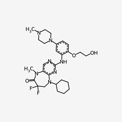 CN1CCN(c2ccc(OCCO)c(Nc3ncc4c(n3)N(C3CCCCC3)CC(F)(F)C(=O)N4C)c2)CC1